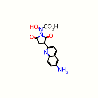 Nc1ccc2nc(C3CC(=O)N(N(O)C(=O)O)C3=O)ccc2c1